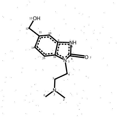 CN(C)CCn1c(=O)[nH]c2cc(CO)ccc21